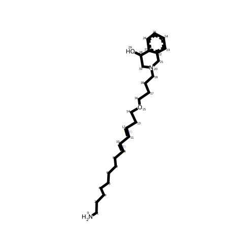 NCCCCCCCC/C=C/C=C/CCOCCCCN1Cc2ccccc2C(O)C1